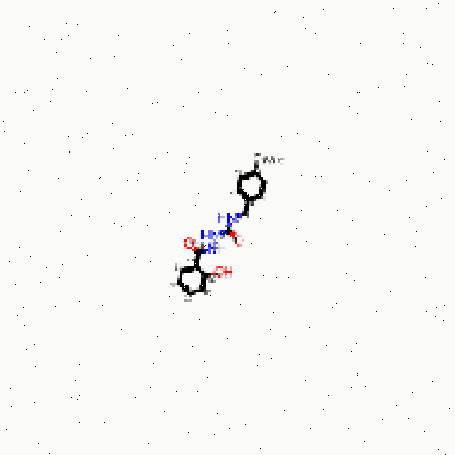 COc1ccc(CNC(=O)NNC(=O)c2ccccc2O)cc1